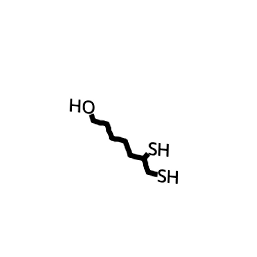 OCCCCCC(S)CS